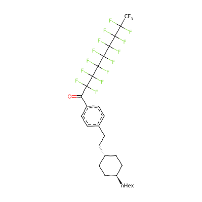 CCCCCC[C@H]1CC[C@H](CCc2ccc(C(=O)C(F)(F)C(F)(F)C(F)(F)C(F)(F)C(F)(F)C(F)(F)C(F)(F)C(F)(F)F)cc2)CC1